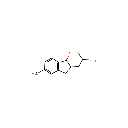 Cc1ccc2c(c1)CC1CC(C)COC21